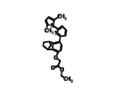 CCOC(=O)COc1ccc(-c2cccc(-n3c(C)ccc3C)n2)c2c1C1CCC2C1